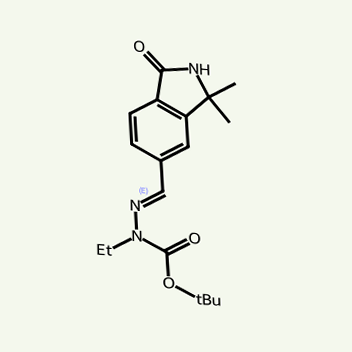 CCN(/N=C/c1ccc2c(c1)C(C)(C)NC2=O)C(=O)OC(C)(C)C